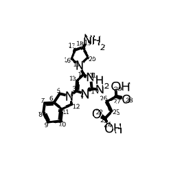 Nc1nc(N2Cc3ccccc3C2)cc(N2CCC(N)C2)n1.O=C(O)C=CC(=O)O